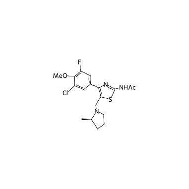 COc1c(F)cc(-c2nc(NC(C)=O)sc2CN2CCC[C@H]2C)cc1Cl